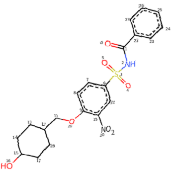 O=C(NS(=O)(=O)c1ccc(OCC2CCC(O)CC2)c([N+](=O)[O-])c1)c1ccccc1